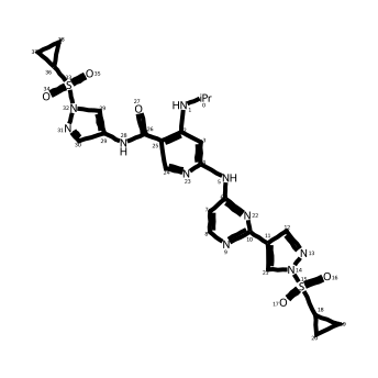 CC(C)Nc1cc(Nc2ccnc(-c3cnn(S(=O)(=O)C4CC4)c3)n2)ncc1C(=O)Nc1cnn(S(=O)(=O)C2CC2)c1